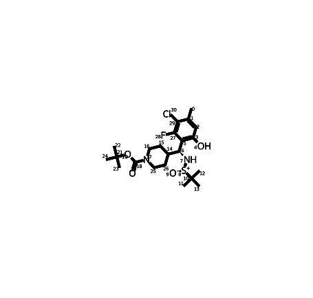 Cc1cc(O)c([C@H](N[S@@+]([O-])C(C)(C)C)C2CCN(C(=O)OC(C)(C)C)CC2)c(F)c1Cl